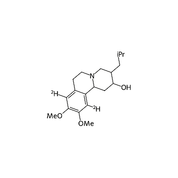 [2H]c1c2c(c([2H])c(OC)c1OC)C1CC(O)C(CC(C)C)CN1CC2